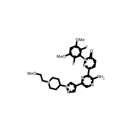 COCCN1CCC(n2cc(-c3cnc(N)c(-c4ccc(=O)n(-c5c(F)c(OC)cc(OC)c5F)n4)n3)cn2)CC1